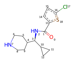 O=C(N[C@H](C1CCNCC1)C1CC1)c1ccc(Cl)s1